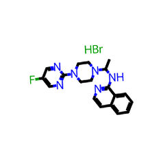 Br.CC(Nc1nccc2ccccc12)N1CCN(c2ncc(F)cn2)CC1